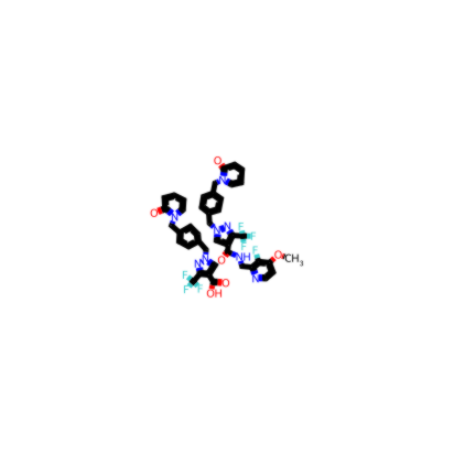 COc1ccnc(CNC(=O)c2cn(Cc3ccc(Cn4ccccc4=O)cc3)nc2C(F)(F)F)c1F.O=C(O)c1cn(Cc2ccc(Cn3ccccc3=O)cc2)nc1C(F)(F)F